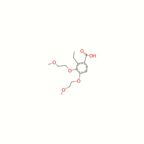 CCc1c(C(=O)O)ccc(OCCOC)c1OCCOC